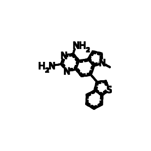 Cn1ccc2c3c(N)nc(N)nc3cc(-c3csc4ccccc34)c21